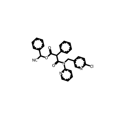 N#CC(OC(=O)C(C(=O)N(Cc1ccc(Cl)nc1)c1ccccn1)c1ccccc1)c1ccccc1